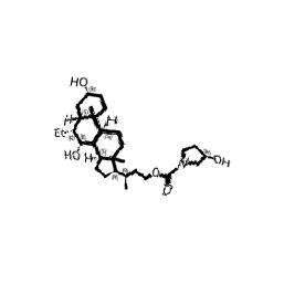 CC[C@H]1[C@@H](O)C2[C@@H]3CC[C@H]([C@H](C)CCOC(=O)N4CC[C@@H](O)C4)C3(C)CC[C@@H]2C2(C)CC[C@@H](O)C[C@@H]12